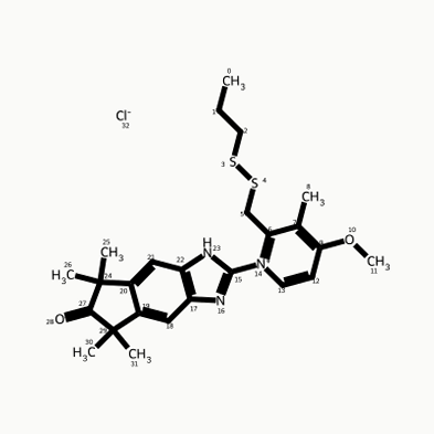 CCCSSCc1c(C)c(OC)cc[n+]1-c1nc2cc3c(cc2[nH]1)C(C)(C)C(=O)C3(C)C.[Cl-]